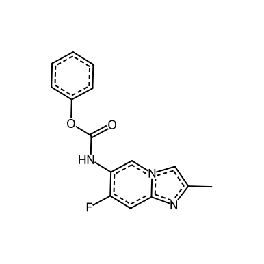 Cc1cn2cc(NC(=O)Oc3ccccc3)c(F)cc2n1